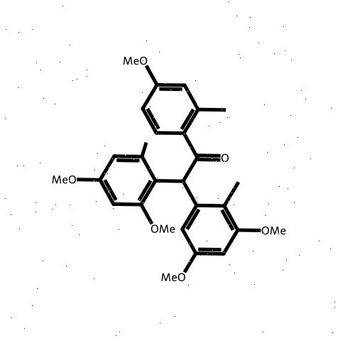 COc1ccc(C(=O)C(c2cc(OC)cc(OC)c2C)c2c(C)cc(OC)cc2OC)c(C)c1